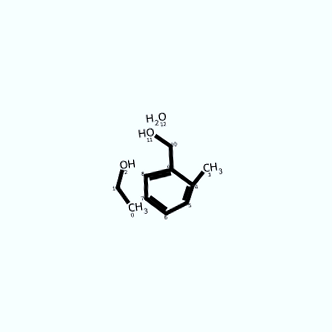 CCO.Cc1ccccc1CO.O